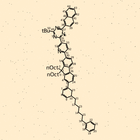 CCCCCCCCC1(CCCCCCCC)c2cc(C3=CC=CC(CCCCCCc4ccccc4)C3)ccc2-c2ccc(-c3ccc(-c4nc(-c5ccc6ccccc6c5)nc(C(C)(C)C)n4)cn3)cc21